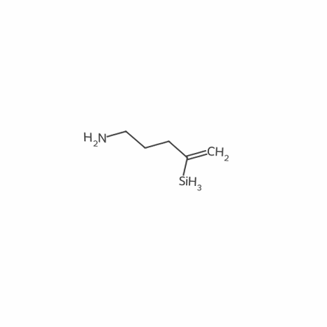 C=C([SiH3])CCCN